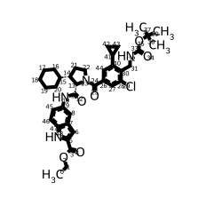 CCOC(=O)c1cc2cc(NC(=O)[C@@H]3[C@H](C4CCCCC4)CCN3C(=O)c3cc(Cl)c(CNC(=O)OC(C)(C)C)c(C4CC4)c3)ccc2[nH]1